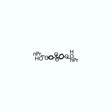 CCCC(O)COc1ccc(S(=O)(=O)c2ccc(OCC(O)CCC)cc2)cc1